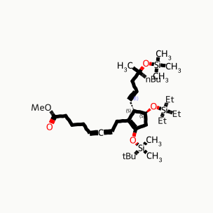 CCCCC(C)(C/C=C/[C@H]1C(CC=C=CCCCC(=O)OC)=C(O[Si](C)(C)C(C)(C)C)C[C@@H]1O[Si](CC)(CC)CC)O[Si](C)(C)C